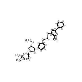 CC[C@H]1CN(C(=O)OC(C)(C)C)C[C@H]1c1cccc(OCCc2nc(-c3ccccc3)oc2C)c1